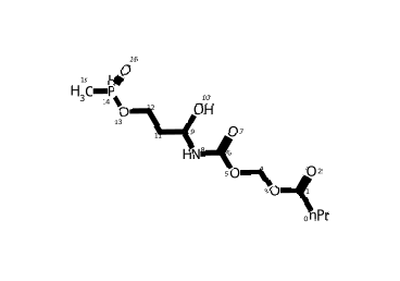 CCCC(=O)OCOC(=O)NC(O)CCO[PH](C)=O